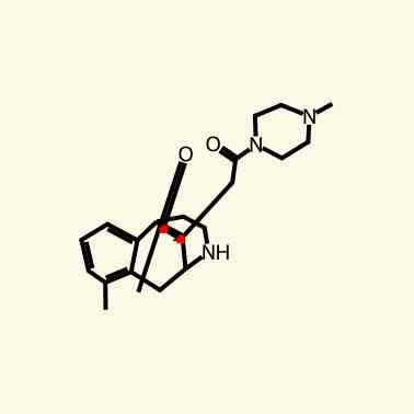 Cc1cccc2c1CC1NCCC23CC(=O)C(CC(=O)N2CCN(C)CC2)CC13